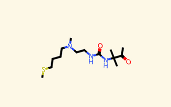 CSCCCCN(C)CCNC(=O)NC(C)(C)C(C)=O